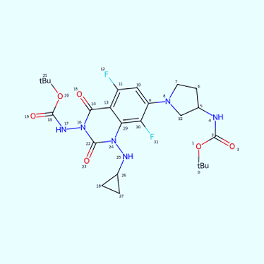 CC(C)(C)OC(=O)NC1CCN(c2cc(F)c3c(=O)n(NC(=O)OC(C)(C)C)c(=O)n(NC4CC4)c3c2F)C1